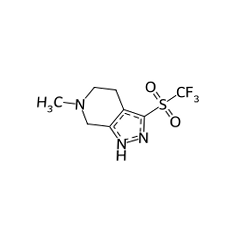 CN1CCc2c(S(=O)(=O)C(F)(F)F)n[nH]c2C1